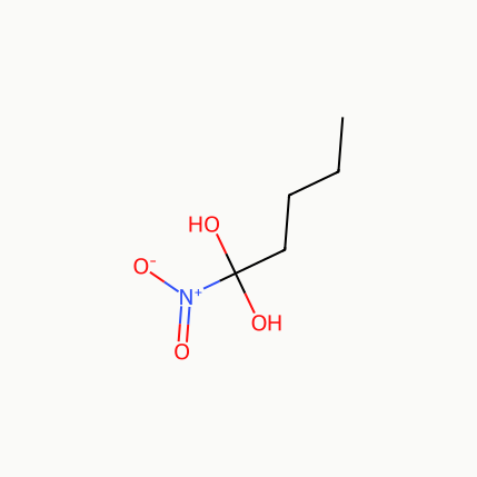 CCCCC(O)(O)[N+](=O)[O-]